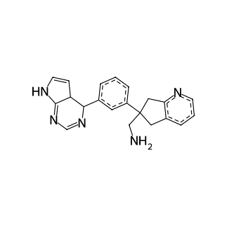 NCC1(c2cccc(C3N=CN=C4NC=CC43)c2)Cc2cccnc2C1